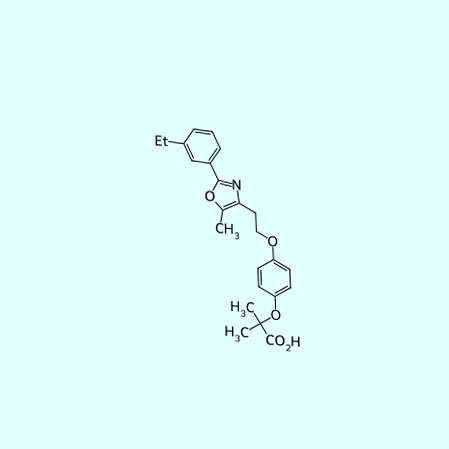 CCc1cccc(-c2nc(CCOc3ccc(OC(C)(C)C(=O)O)cc3)c(C)o2)c1